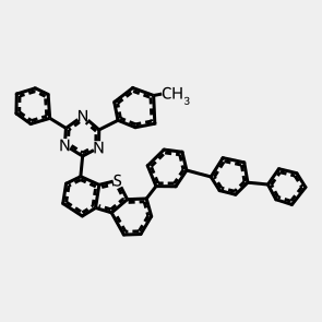 Cc1ccc(-c2nc(-c3ccccc3)nc(-c3cccc4c3sc3c(-c5cccc(-c6ccc(-c7ccccc7)cc6)c5)cccc34)n2)cc1